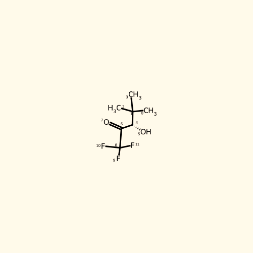 CC(C)(C)[C@H](O)C(=O)C(F)(F)F